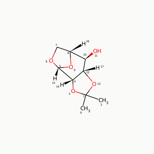 CC1(C)O[C@@H]2[C@@H]3OC[C@@H](O3)[C@@H](O)[C@@H]2O1